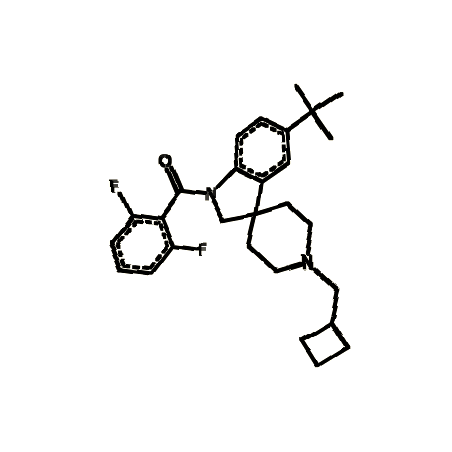 CC(C)(C)c1ccc2c(c1)C1(CCN(CC3CCC3)CC1)CN2C(=O)c1c(F)cccc1F